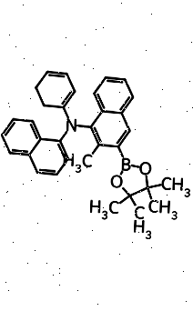 Cc1c(B2OC(C)(C)C(C)(C)O2)cc2ccccc2c1N(C1=CC=CCC1)c1cccc2ccccc12